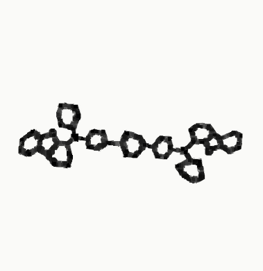 c1ccc(N(c2ccc(-c3ccc(-c4ccc(N(c5ccccc5)c5cccc6c5oc5ccccc56)cc4)cc3)cc2)c2cccc3c2oc2ccccc23)cc1